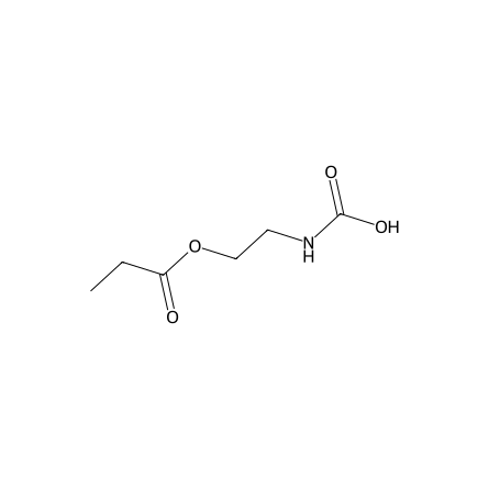 CCC(=O)OCCNC(=O)O